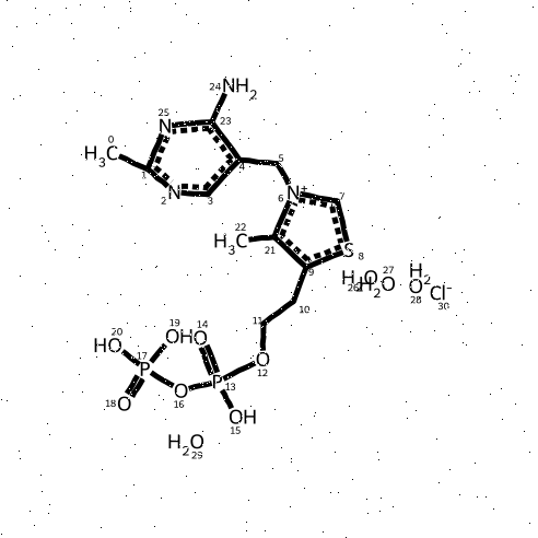 Cc1ncc(C[n+]2csc(CCOP(=O)(O)OP(=O)(O)O)c2C)c(N)n1.O.O.O.O.[Cl-]